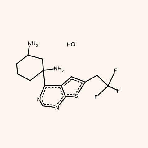 Cl.NC1CCCC(N)(c2ncnc3sc(CC(F)(F)F)cc23)C1